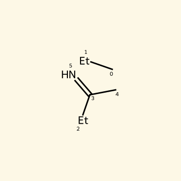 CCC.CCC(C)=N